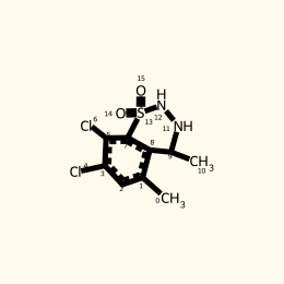 Cc1cc(Cl)c(Cl)c2c1C(C)NNS2(=O)=O